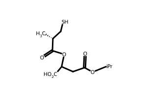 CC(C)OC(=O)CC(OC(=O)[C@H](C)CS)C(=O)O